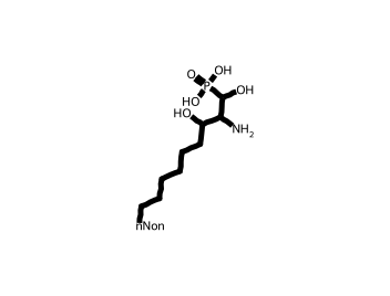 CCCCCCCCCCCCCCCC(O)C(N)C(O)P(=O)(O)O